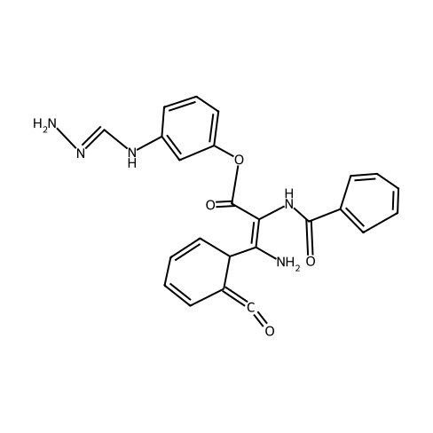 NN=CNc1cccc(OC(=O)C(NC(=O)c2ccccc2)=C(N)C2C=CC=CC2=C=O)c1